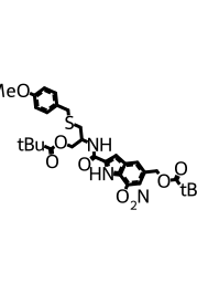 COc1ccc(CSCC(COC(=O)C(C)(C)C)NC(=O)c2cc3cc(COC(=O)C(C)(C)C)cc([N+](=O)[O-])c3[nH]2)cc1